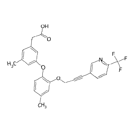 Cc1cc(CC(=O)O)cc(Oc2ccc(C)cc2OCC#Cc2ccc(C(F)(F)F)nc2)c1